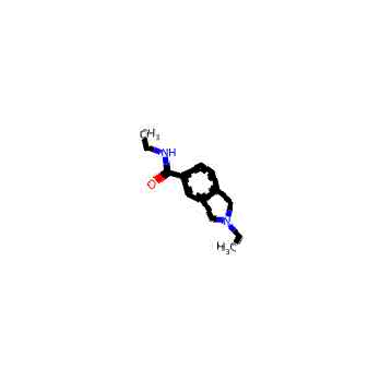 CCNC(=O)c1ccc2c(c1)CN(CC)C2